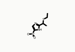 [CH2]C(SCC)c1ncc([N+](=O)[O-])[nH]1